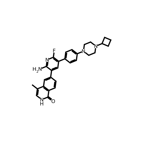 Cc1c[nH]c(=O)c2ccc(-c3cc(-c4ccc(N5CCN(C6CCC6)CC5)cc4)c(F)nc3N)cc12